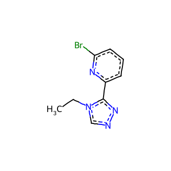 CCn1cnnc1-c1cccc(Br)n1